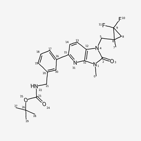 Cn1c(=O)n(CC2(C)CC2(F)F)c2ccc(-c3cccc(CNC(=O)OC(C)(C)C)c3)nc21